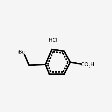 CCC(C)Cc1ccc(C(=O)O)cc1.Cl